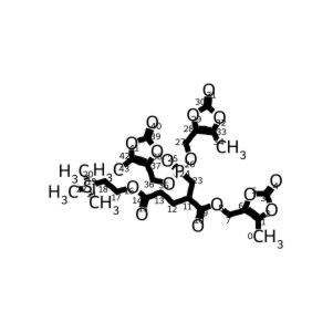 Cc1oc(=O)oc1COC(=O)C(CCC(=O)OCC[Si](C)(C)C)CP(=O)(OCc1oc(=O)oc1C)OCc1oc(=O)oc1C